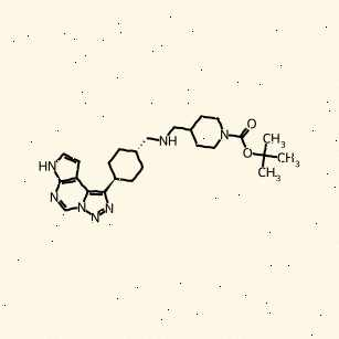 CC(C)(C)OC(=O)N1CCC(CNC[C@H]2CC[C@H](c3nnn4cnc5[nH]ccc5c34)CC2)CC1